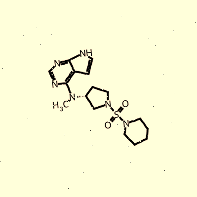 CN(c1ncnc2[nH]ccc12)[C@@H]1CCN(S(=O)(=O)N2CCCCC2)C1